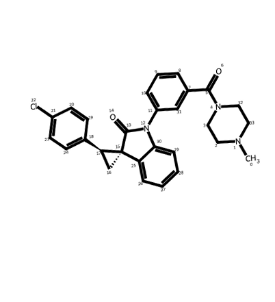 CN1CCN(C(=O)c2cccc(N3C(=O)[C@@]4(C[C@H]4c4ccc(Cl)cc4)c4ccccc43)c2)CC1